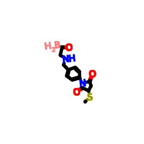 BC(=O)CNCc1ccc(N2C(=O)CC(SC)C2=O)cc1